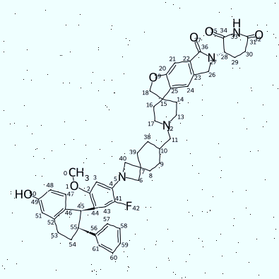 COc1cc(N2CC3(CCC(CN4CCC5(CC4)COc4cc6c(cc45)CN([C@H]4CCC(=O)NC4=O)C6=O)CC3)C2)c(F)cc1[C@@H]1c2ccc(O)cc2CC[C@@H]1c1ccccc1